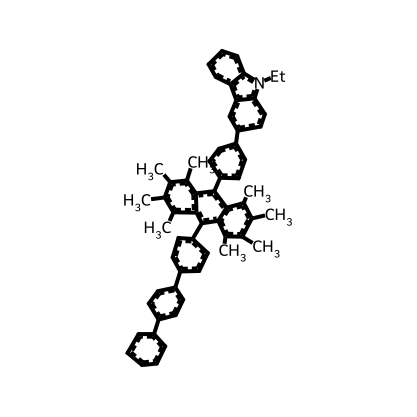 CCn1c2ccccc2c2cc(-c3ccc(-c4c5c(C)c(C)c(C)c(C)c5c(-c5ccc(-c6ccc(-c7ccccc7)cc6)cc5)c5c(C)c(C)c(C)c(C)c45)cc3)ccc21